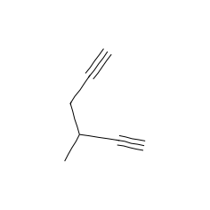 C#CCC(C)C#C